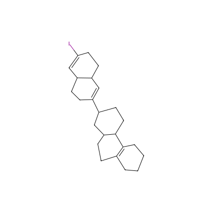 IC1=CC2CCC(C3CCC4C5=C(CCCC5)CCC4C3)=CC2CC1